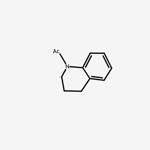 CC(=O)N1[CH]CCc2ccccc21